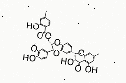 COc1cc(C2Oc3cc([C@@H]4Oc5cc(C)cc(O)c5C(=O)C4O)ccc3O[C@H]2COC(=O)c2ccc(C)cc2O)ccc1O